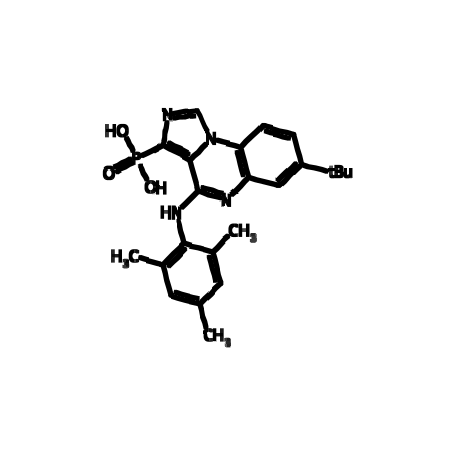 Cc1cc(C)c(Nc2nc3cc(C(C)(C)C)ccc3n3cnc(P(=O)(O)O)c23)c(C)c1